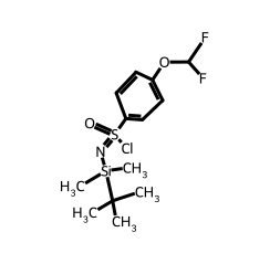 CC(C)(C)[Si](C)(C)N=S(=O)(Cl)c1ccc(OC(F)F)cc1